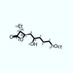 CCCCCCCCCCCC(O)C[C@H]1OC(=O)[C@@H]1CC